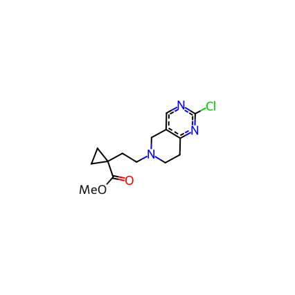 COC(=O)C1(CCN2CCc3nc(Cl)ncc3C2)CC1